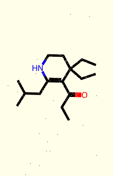 CCC(=O)C1=C(CC(C)C)NCCC1(CC)CC